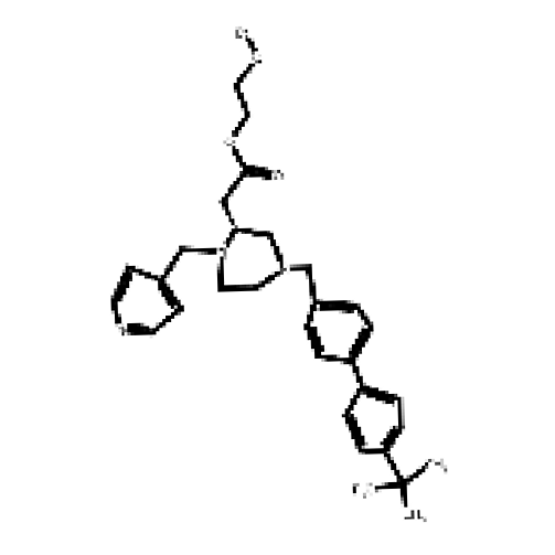 CCOCCOC(=O)C[C@H]1CN(Cc2ccc(-c3ccc(C(C)(C)C(F)(F)F)cc3)cc2)CCN1Cc1ccncc1